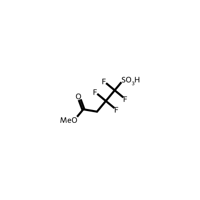 COC(=O)CC(F)(F)C(F)(F)S(=O)(=O)O